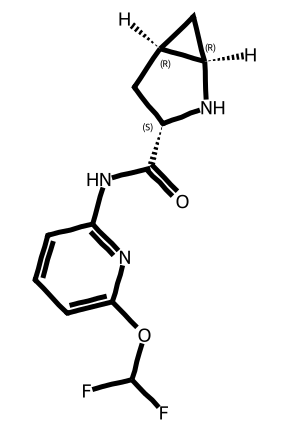 O=C(Nc1cccc(OC(F)F)n1)[C@@H]1C[C@H]2C[C@H]2N1